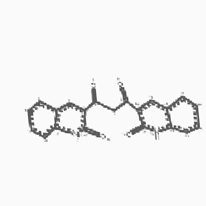 O=C(CC(=O)c1cc2ccccc2[nH]c1=O)c1cc2ccccc2[nH]c1=O